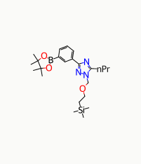 CCCc1nc(-c2cccc(B3OC(C)(C)C(C)(C)O3)c2)nn1COCC[Si](C)(C)C